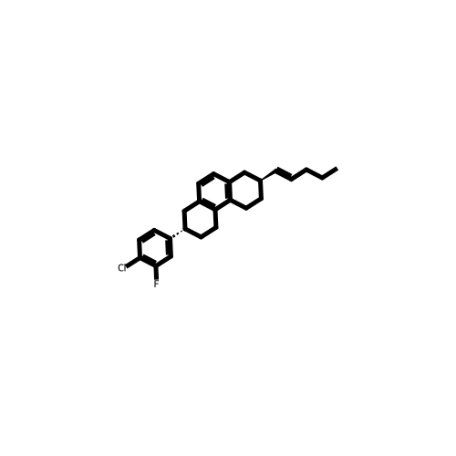 CCC/C=C/[C@H]1CCc2c(ccc3c2CC[C@H](c2ccc(Cl)c(F)c2)C3)C1